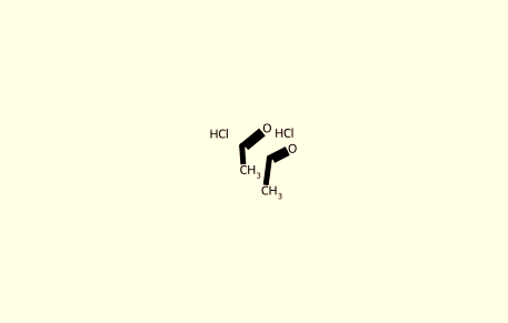 CC=O.CC=O.Cl.Cl